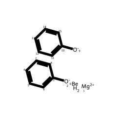 [BeH2].[Mg+2].[O-]c1ccccc1.[O-]c1ccccc1